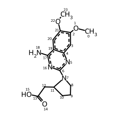 COc1cc2nc(N3CCCC3CC(=O)O)nc(N)c2cc1OC